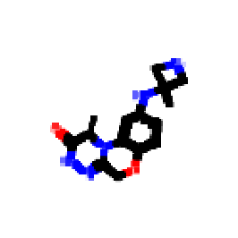 C[C@@H]1C(=O)NN=C2COc3ccc(NC4(C)CNC4)cc3N21